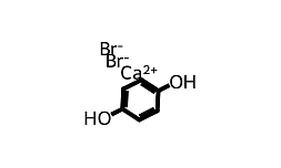 Oc1ccc(O)cc1.[Br-].[Br-].[Ca+2]